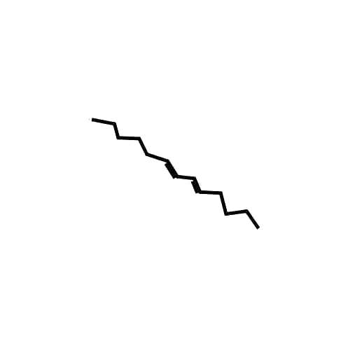 [CH2]CCCC/C=C/C=C/CCCC